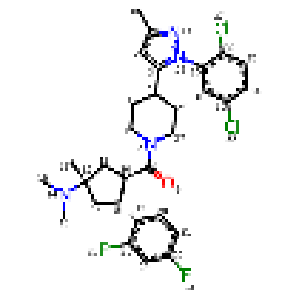 Cc1cc(C2CCN(C(=O)[C@@H]3C[C@@](C)(N(C)C)C[C@H]3c3ccc(F)cc3F)CC2)n(-c2cc(Cl)ccc2Cl)n1